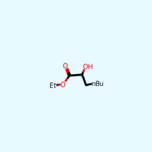 CCCCCC(O)C(=O)OCC